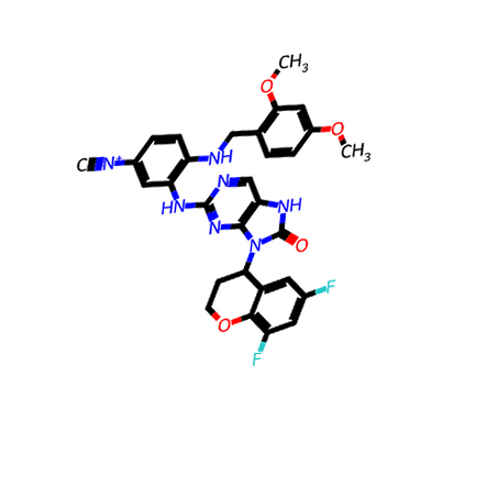 [C-]#[N+]c1ccc(NCc2ccc(OC)cc2OC)c(Nc2ncc3[nH]c(=O)n(C4CCOc5c(F)cc(F)cc54)c3n2)c1